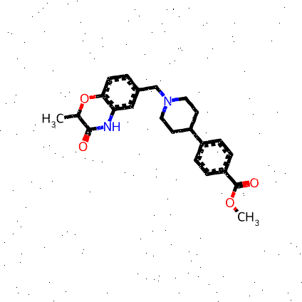 COC(=O)c1ccc(C2CCN(Cc3ccc4c(c3)NC(=O)C(C)O4)CC2)cc1